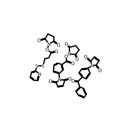 O=C(CCSSc1ccccn1)ON1C(=O)CCC1=O.O=C(ON1C(=O)CCC1=O)c1cccc(N2C(=O)C=CC2=O)c1.O=C(c1ccccc1)c1ccc(N2C(=O)C=CC2=O)cc1